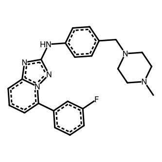 CN1CCN(Cc2ccc(Nc3nc4cccc(-c5cccc(F)c5)n4n3)cc2)CC1